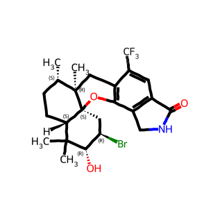 C[C@H]1CC[C@H]2C(C)(C)[C@@H](O)[C@H](Br)C[C@]23Oc2c4c(cc(C(F)(F)F)c2C[C@]13C)C(=O)NC4